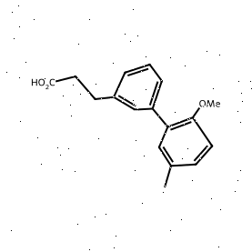 COc1ccc(C)cc1-c1cccc(CCC(=O)O)c1